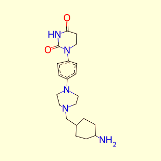 NC1CCC(CN2CCN(c3ccc(N4CCC(=O)NC4=O)cc3)CC2)CC1